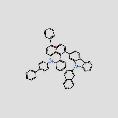 c1ccc(-c2ccc(N(c3ccc(-c4ccccc4)cc3)c3ccccc3-c3ccccc3-c3ccc4c5ccccc5n(-c5ccc6ccccc6c5)c4c3)cc2)cc1